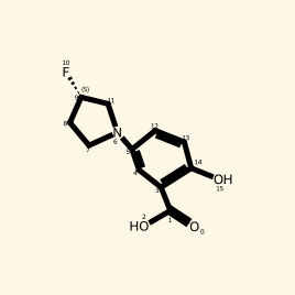 O=C(O)c1cc(N2CC[C@H](F)C2)ccc1O